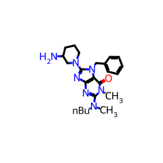 CCCCN(C)c1nc2nc(N3CCCC(N)C3)n(Cc3ccccc3)c2c(=O)n1C